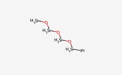 [CH2]C(C)[SiH2]O[SiH2]O[SiH2]O[SiH3]